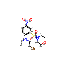 [CH2]CN(CCBr)c1ccc([N+](=O)[O-])cc1S(=O)(=O)N1CCOCC1